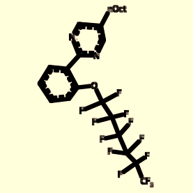 CCCCCCCCc1cnc(-c2ccccc2OC(F)(F)C(F)(F)C(F)(F)C(F)(F)C(F)(F)C(F)(F)F)nc1